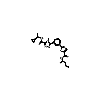 CCCC(C)NC(=O)c1cnc(-c2cccc(-c3nnc(C(=O)NC(C)C4CC4)[nH]3)c2)o1